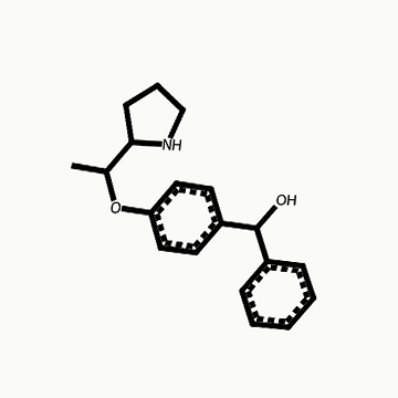 CC(Oc1ccc(C(O)c2ccccc2)cc1)C1CCCN1